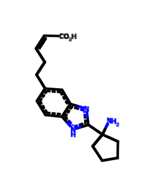 NC1(c2nc3cc(CC/C=C\C(=O)O)ccc3[nH]2)CCCC1